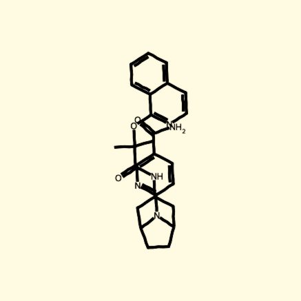 CC(C)(Oc1nccc2ccccc12)C(=O)NC1CC2CCC(C1)N2c1ccc(C(N)=O)cn1